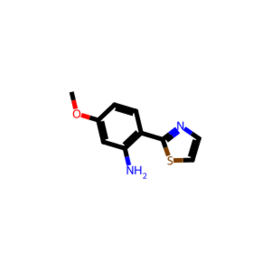 COc1ccc(-c2nccs2)c(N)c1